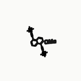 COc1ccc2c(C#C[Si](C)(C)C)cccc2c1C#C[Si](C)(C)C